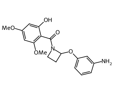 COc1cc(O)c(C(=O)N2CCC2Oc2cccc(N)c2)c(OC)c1